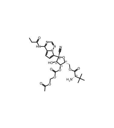 CCC(=O)Nc1ncnn2c([C@]3(C#N)O[C@H](COC(=O)[C@@H](N)C(C)(C)C)[C@@H](OC(=O)OCOC(C)=O)[C@H]3O)ccc12